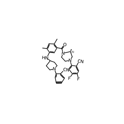 Cc1cc(C)c(C(=O)N2CCN(c3cc(F)c(F)cc3C#N)C[C@@H]2C)cc1NC1CCN(c2cc#ccc2C#N)CC1